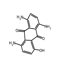 Nc1ccc(N)c2c1C(=O)c1c(N)ccc(O)c1C2=O